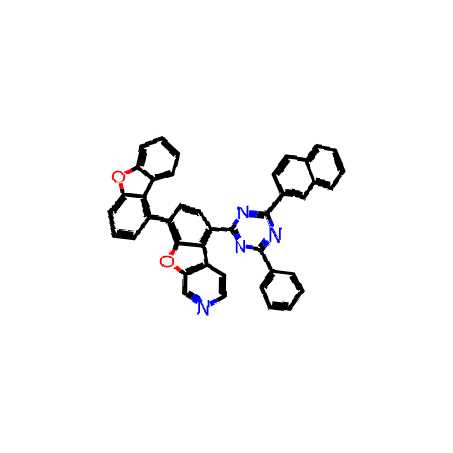 c1ccc(-c2nc(-c3ccc4ccccc4c3)nc(-c3ccc(-c4cccc5oc6ccccc6c45)c4oc5cnccc5c34)n2)cc1